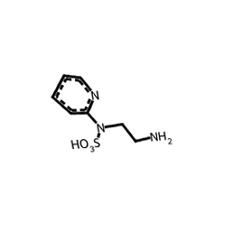 NCCN(c1ccccn1)S(=O)(=O)O